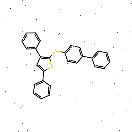 c1ccc(-c2ccc(Sc3sc(-c4ccccc4)cc3-c3ccccc3)cc2)cc1